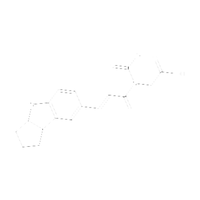 O=C(O)CN(C(=O)/C=C/c1ccc2c(c1)C1CCCC1N2)C(=S)S